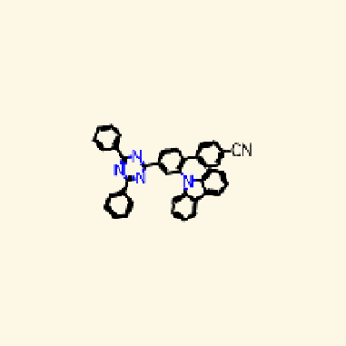 N#Cc1ccc(-c2ccc(-c3nc(-c4ccccc4)nc(-c4ccccc4)n3)cc2-n2c3ccccc3c3ccccc32)cc1